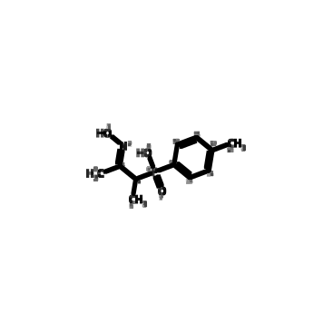 CC(=NO)C(C)P(=O)(O)c1ccc(C)cc1